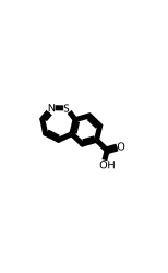 O=C(O)c1ccc2c(c1)C=CC=NS2